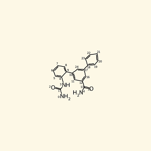 NC(=O)Nc1ccccc1-c1cc(C(N)=O)cc(-c2ccccc2)c1